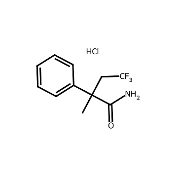 CC(CC(F)(F)F)(C(N)=O)c1ccccc1.Cl